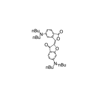 CCCCN(CCCC)c1ccc2c(c1)OC(=C1OC(=O)c3ccc(N(CCCC)CCCC)cc31)C2=O